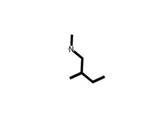 CCC(C)C[N]C